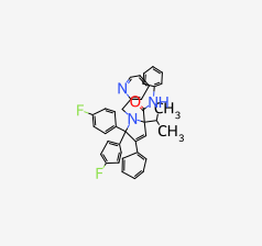 CC(C)C1(C(=O)Nc2ccccc2)C=C(c2ccccc2)C(c2ccc(F)cc2)(c2ccc(F)cc2)N1Cc1ccccn1